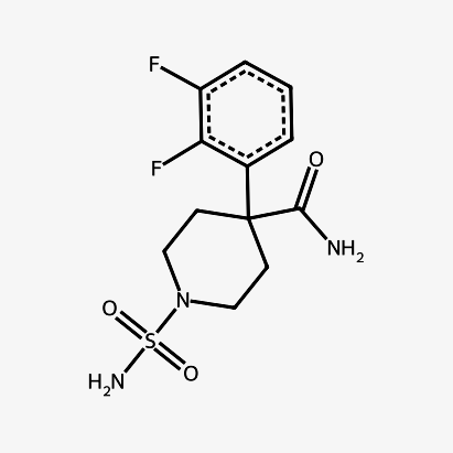 NC(=O)C1(c2cccc(F)c2F)CCN(S(N)(=O)=O)CC1